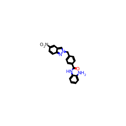 Nc1ccccc1NC(=O)c1ccc(Cn2cc3cc([N+](=O)[O-])ccc3n2)cc1